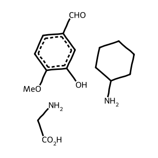 COc1ccc(C=O)cc1O.NC1CCCCC1.NCC(=O)O